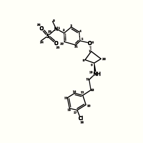 CN(c1ccc(O[C@H]2C[C@H](NCCc3cccc(Cl)c3)C2)cc1)S(C)(=O)=O